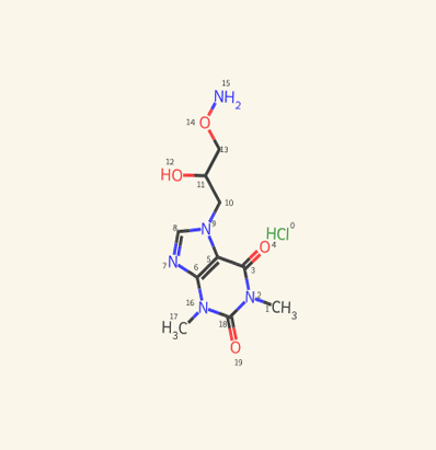 Cl.Cn1c(=O)c2c(ncn2CC(O)CON)n(C)c1=O